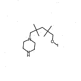 CC(C)(COI)CC(C)(C)CN1CCNCC1